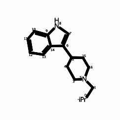 C[C](C)CN1CCC(c2c[nH]c3ccccc23)CC1